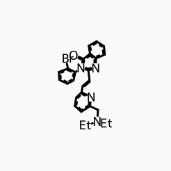 CCN(CC)Cc1cccc(C=Cc2nc3ccccc3c(=O)n2-c2ccccc2Br)n1